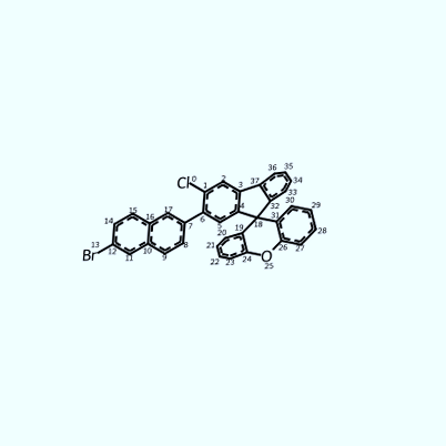 Clc1cc2c(cc1-c1ccc3cc(Br)ccc3c1)C1(c3ccccc3Oc3ccccc31)c1ccccc1-2